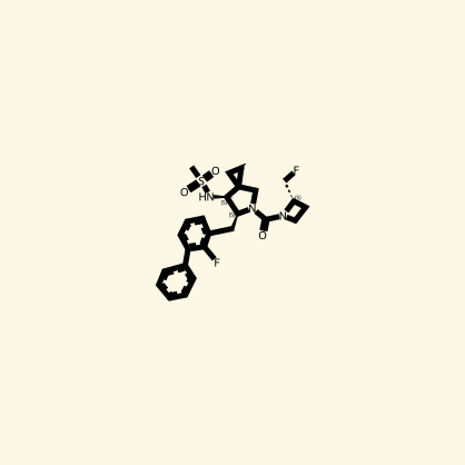 CS(=O)(=O)N[C@@H]1[C@H](Cc2cccc(-c3ccccc3)c2F)N(C(=O)N2CC[C@H]2CF)CC12CC2